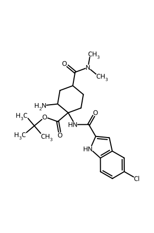 CN(C)C(=O)C1CCC(NC(=O)c2cc3cc(Cl)ccc3[nH]2)(C(=O)OC(C)(C)C)C(N)C1